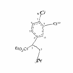 CCOC(=O)C(CC(C)C)c1ccc(Cl)c(Cl)c1